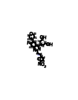 O=[N+]([O-])c1ccc(/C=C/c2nc(N(CCO)CCO)c3cc(N4CCOCC4)c(F)cc3n2)o1